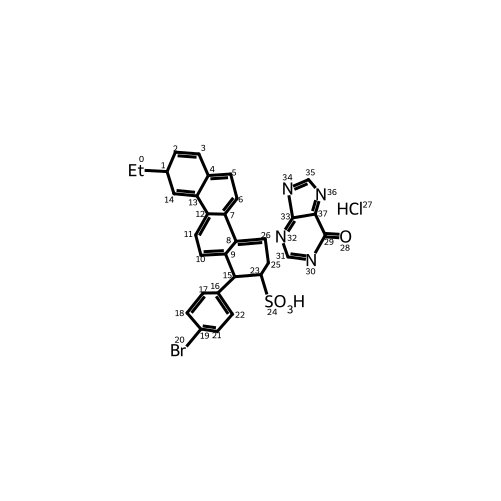 CCC1C=Cc2ccc3c4c(ccc3c2=C1)C(c1ccc(Br)cc1)C(S(=O)(=O)O)CC=4.Cl.O=C1N=CN=C2N=CN=C12